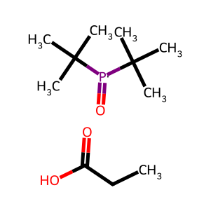 CC(C)(C)[P](=O)C(C)(C)C.CCC(=O)O